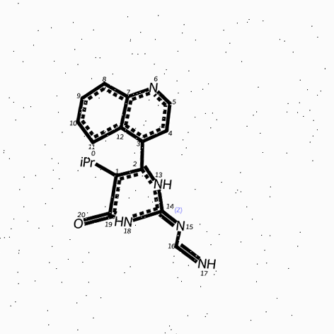 CC(C)c1c(-c2ccnc3ccccc23)[nH]/c(=N/C=N)[nH]c1=O